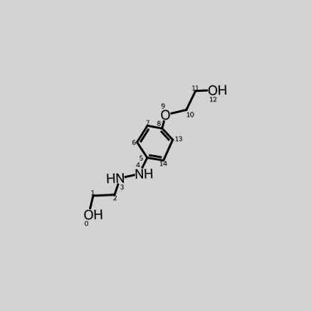 OCCNNc1ccc(OCCO)cc1